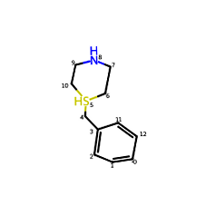 [c]1ccc(C[SH]2CCNCC2)cc1